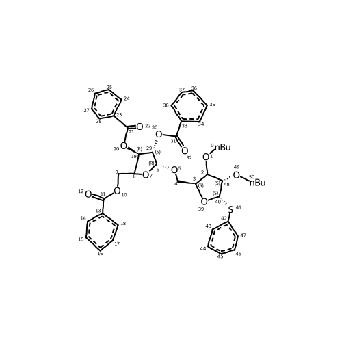 CCCCOC1[C@H](CO[C@@H]2OC(COC(=O)c3ccccc3)[C@@H](OC(=O)c3ccccc3)[C@@H]2OC(=O)c2ccccc2)O[C@@H](Sc2ccccc2)[C@H]1OCCCC